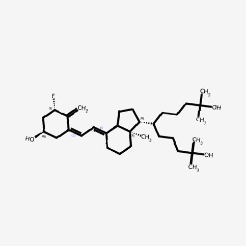 C=C1/C(=C\C=C2/CCC[C@@]3(C)C2CC[C@@H]3C(CCCC(C)(C)O)CCCC(C)(C)O)C[C@@H](O)C[C@@H]1F